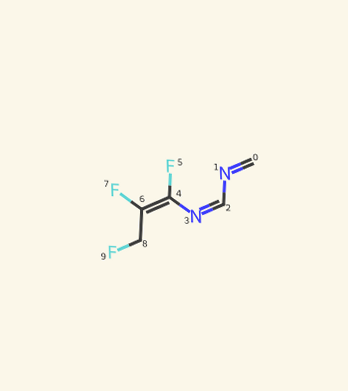 C=N/C=N\C(F)=C(\F)CF